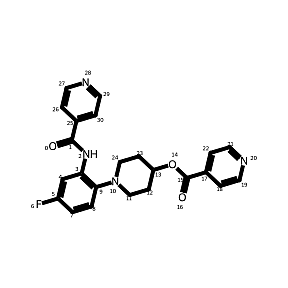 O=C(Nc1cc(F)ccc1N1CCC(OC(=O)c2ccncc2)CC1)c1ccncc1